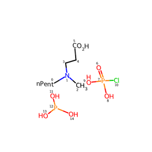 CCCCCN(C)CCC(=O)O.O=P(O)(O)Cl.OP(O)O